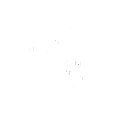 CC1(C)C(=O)N(CCOC2CC2)c2cc3[nH]c(NC(=O)c4ccccc4)nc3cc21